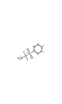 CC(C)(N)S(=O)(=O)c1ccccc1